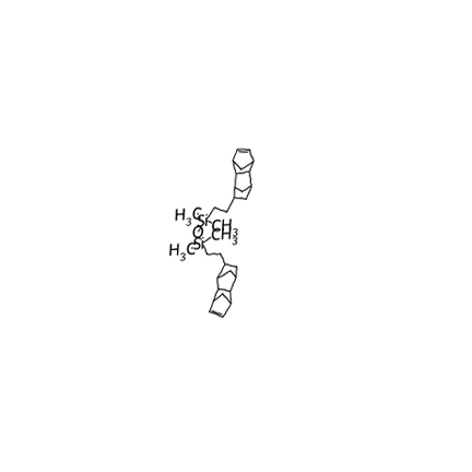 C[Si](C)(CCC1CC2CC1C1C3C=CC(C3)C21)O[Si](C)(C)CCC1CC2CC1C1C3C=CC(C3)C21